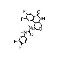 CN(C(=O)Nc1ccc(F)c(F)c1)[C@@H]1COCc2[nH]c(=O)c3cc(F)c(F)cc3c21